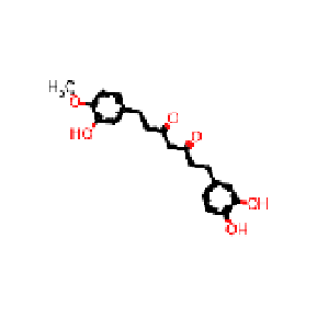 COc1ccc(CCC(=O)CC(=O)CCc2ccc(O)c(O)c2)cc1O